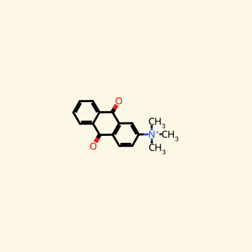 C[N+](C)(C)c1ccc2c(c1)C(=O)c1ccccc1C2=O